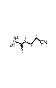 CCN(CC)C(=S)SCCC#N